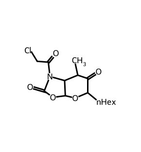 CCCCCCC1OC2OC(=O)N(C(=O)CCl)C2C(C)C1=O